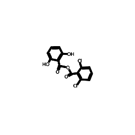 O=C(OC(=O)c1c(Cl)cccc1Cl)c1c(O)cccc1O